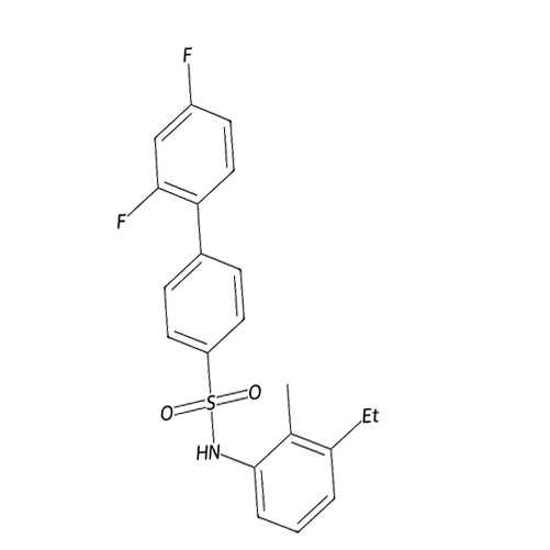 CCc1cccc(NS(=O)(=O)c2ccc(-c3ccc(F)cc3F)cc2)c1C